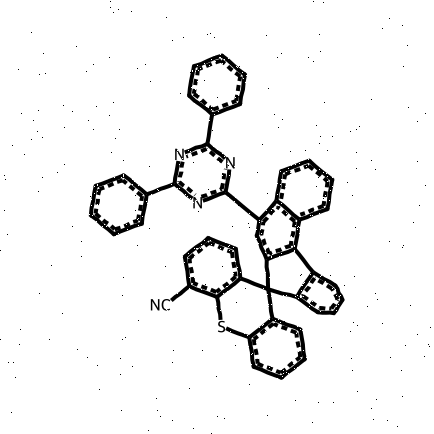 N#Cc1cccc2c1Sc1ccccc1C21c2ccccc2-c2c1cc(-c1nc(-c3ccccc3)nc(-c3ccccc3)n1)c1ccccc21